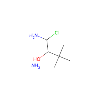 CC(C)(C)C(O)C(N)Cl.N